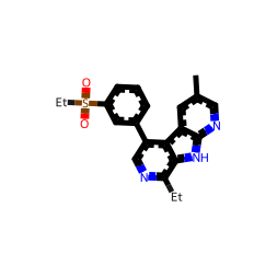 CCc1ncc(-c2cccc(S(=O)(=O)CC)c2)c2c1[nH]c1ncc(C)cc12